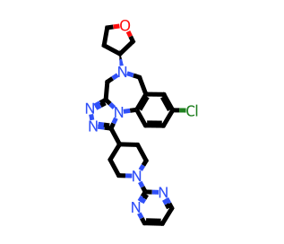 Clc1ccc2c(c1)CN([C@H]1CCOC1)Cc1nnc(C3CCN(c4ncccn4)CC3)n1-2